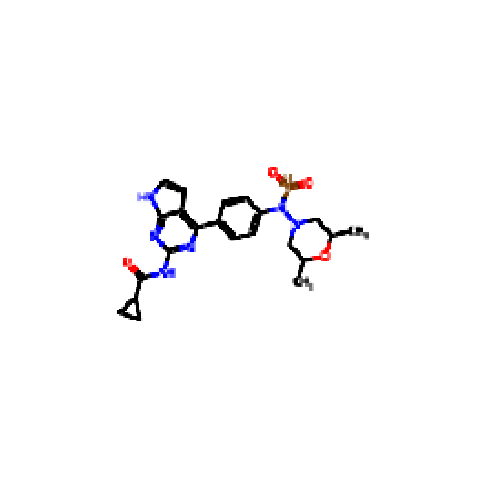 CC1CN(N(c2ccc(-c3nc(NC(=O)C4CC4)nc4[nH]ccc34)cc2)[SH](=O)=O)CC(C)O1